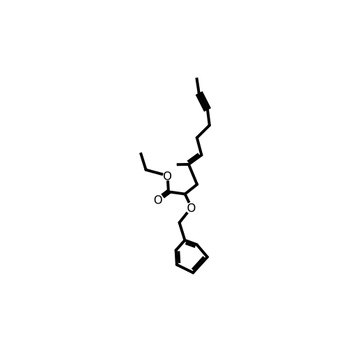 CC#CCC/C=C(\C)CC(OCc1ccccc1)C(=O)OCC